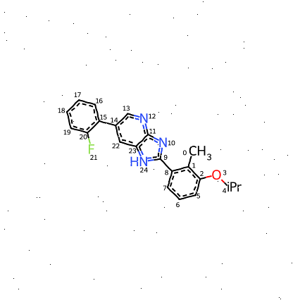 Cc1c(OC(C)C)cccc1-c1nc2ncc(-c3ccccc3F)cc2[nH]1